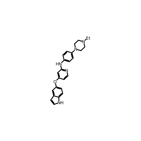 CCN1CCN(c2ccc(Nc3cc(Oc4ccc5[nH]ccc5c4)ccn3)cc2)CC1